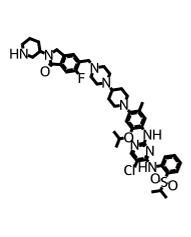 Cc1cc(Nc2ncc(Cl)c(Nc3ccccc3S(=O)(=O)C(C)C)n2)c(OC(C)C)cc1N1CCC(N2CCN(Cc3cc4c(cc3F)C(=O)N(C3CCCNC3)C4)CC2)CC1